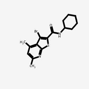 Cc1cc(C)c2c(Br)c(C(=O)NC3CCCCC3)sc2n1